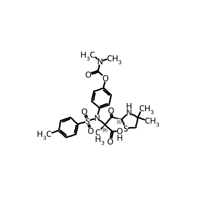 Cc1ccc(S(=O)(=O)N(c2ccc(OC(=O)N(C)C)cc2)[C@@](C)(C(=O)O)C(=O)[C@H]2NC(C)(C)CS2)cc1